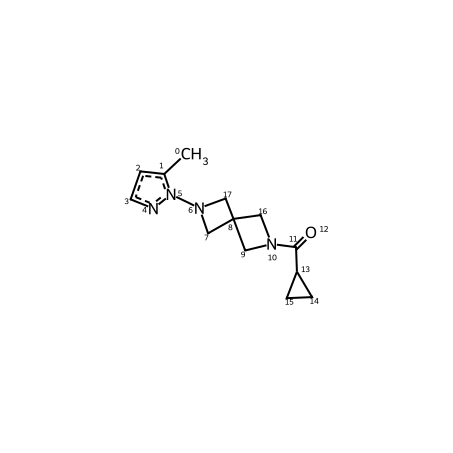 Cc1ccnn1N1CC2(CN(C(=O)C3CC3)C2)C1